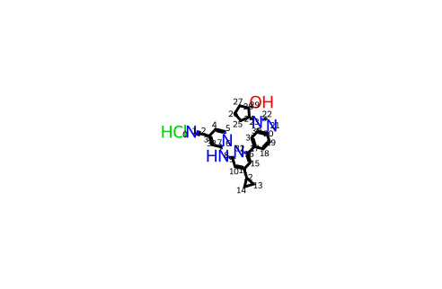 Cl.N#Cc1ccnc(Nc2cc(C3CC3)cc(-c3ccc4ncn([C@H]5CCC[C@@H]5O)c4c3)n2)c1